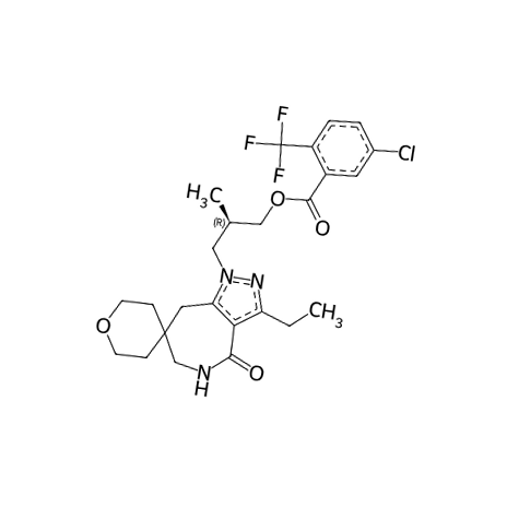 CCc1nn(C[C@@H](C)COC(=O)c2cc(Cl)ccc2C(F)(F)F)c2c1C(=O)NCC1(CCOCC1)C2